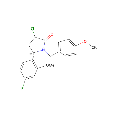 COc1cc(F)ccc1[C@@H]1CC(Cl)C(=O)N1Cc1ccc(OC(F)(F)F)cc1